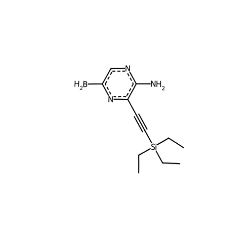 Bc1cnc(N)c(C#C[Si](CC)(CC)CC)n1